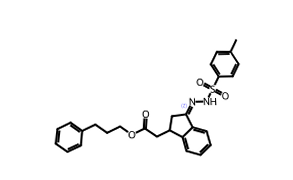 Cc1ccc(S(=O)(=O)N/N=C2/CC(CC(=O)OCCCc3ccccc3)c3ccccc32)cc1